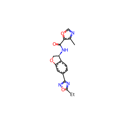 CCc1nc(-c2ccc3c(c2)OC[C@H]3NC(=O)c2ocnc2C)no1